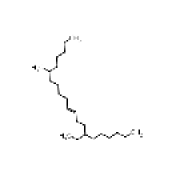 [CH2]CCCCCC(CC)CCC=CCCCCC(C)CCCC[CH2]